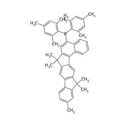 Cc1cc(C)c(B(c2c(C)cc(C)cc2C)c2cc3c(c4ccccc24)-c2cc4c(cc2C3(C)C)-c2ccc(C)cc2C4(C)C)c(C)c1